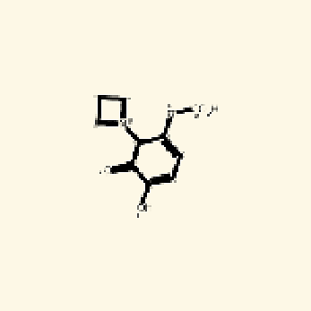 O=C(O)OC1=CC=C(O)C(=O)C1N1CCC1